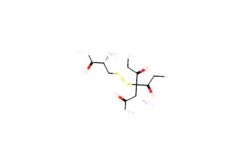 COC(=O)[C@@H](N)C(SSC[C@H](N)C(=O)OC)(C(=O)CC(C)C)C(=O)CC(C)C